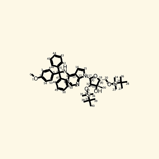 COc1ccc(C(Nc2ncnc3c2ccn3[C@@H]2O[C@H](CO[Si](C)(C)C(C)(C)C)[C@](C)(O)[C@H]2O[Si](C)(C)C(C)(C)C)(c2ccccc2)c2ccccc2)cc1